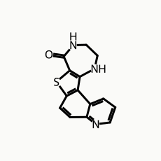 O=C1NCCNc2c1sc1ccc3ncccc3c21